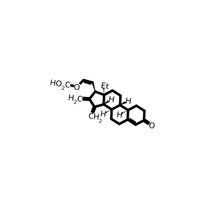 C=C1C(=C)[C@H]2[C@@H]3CCC4=CC(=O)CC[C@@H]4[C@H]3CC[C@]2(CC)[C@@H]1/C=C\OC(=O)O